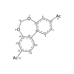 CC(=O)c1ccc2c(c1)OCOc1cc(C(C)=O)ccc1-2